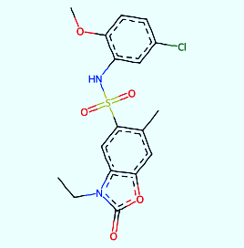 CCn1c(=O)oc2cc(C)c(S(=O)(=O)Nc3cc(Cl)ccc3OC)cc21